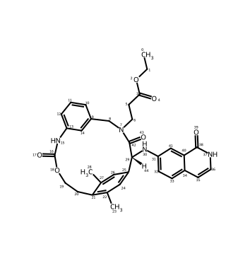 CCOC(=O)CCN1Cc2cccc(c2)NC(=O)OCCc2c(C)cc(cc2C)[C@@H](Nc2ccc3cc[nH]c(=O)c3c2)C1=O